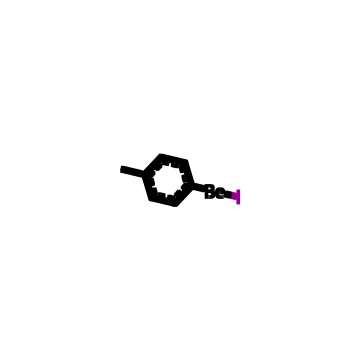 Cc1cc[c]([Be][I])cc1